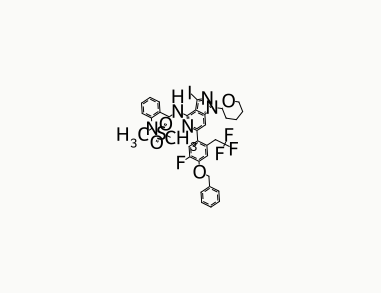 CN(c1ccccc1CNc1nc(-c2cc(F)c(OCc3ccccc3)cc2CC(F)(F)F)cc2c1c(I)nn2C1CCCCO1)S(C)(=O)=O